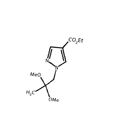 CCOC(=O)c1cnn(CC(C)(OC)OC)c1